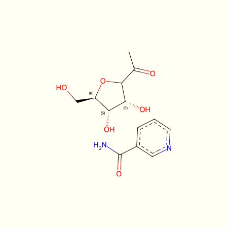 CC(=O)C1O[C@H](CO)[C@@H](O)[C@H]1O.NC(=O)c1cccnc1